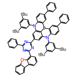 CC(C)(C)c1cc(N2c3ccc(-c4ccccc4)cc3B3c4cc(-c5ccccc5)ccc4N(c4cc(C(C)(C)C)cc(C(C)(C)C)c4)c4cc(-c5nc(-c6ccccc6)nc(-c6cccc7c6oc6ccccc67)n5)cc2c43)cc(C(C)(C)C)c1